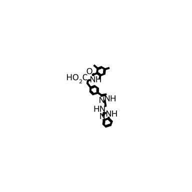 Cc1cc(C)c(C(=O)NC(Cc2ccc(-c3c[nH]c(CNc4nc5ccccc5[nH]4)n3)cc2)C(=O)O)c(C)c1